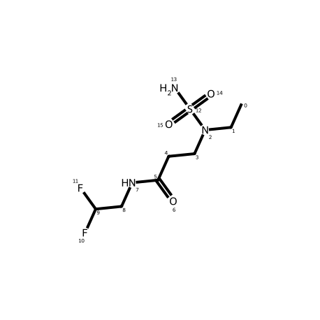 CCN(CCC(=O)NCC(F)F)S(N)(=O)=O